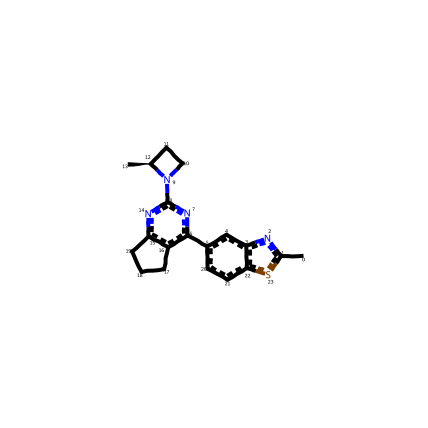 Cc1nc2cc(-c3nc(N4CC[C@@H]4C)nc4c3CCC4)ccc2s1